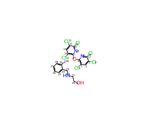 Clc1cc(Cl)c(Oc2nc(Cl)c(Cl)cc2Cl)nc1Cl.OCCNCc1ccccc1I